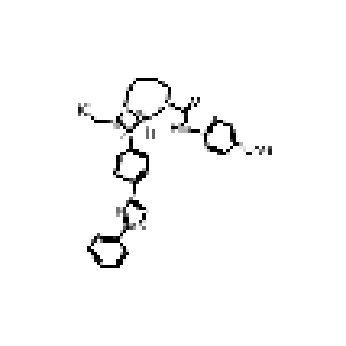 COc1ccc(NC(=O)N2CCCCN3[C@H](CO)[C@H](c4ccc(-c5csc(-c6ccccc6)n5)cc4)[C@@H]3C2)cc1